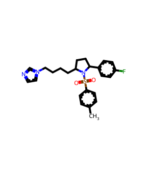 Cc1ccc(S(=O)(=O)N2C(CCCCn3ccnc3)CCC2c2ccc(F)cc2)cc1